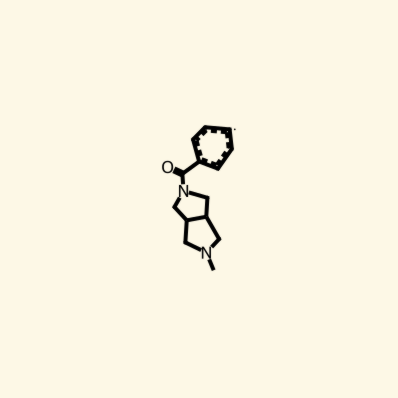 CN1CC2CN(C(=O)c3cc[c]cc3)CC2C1